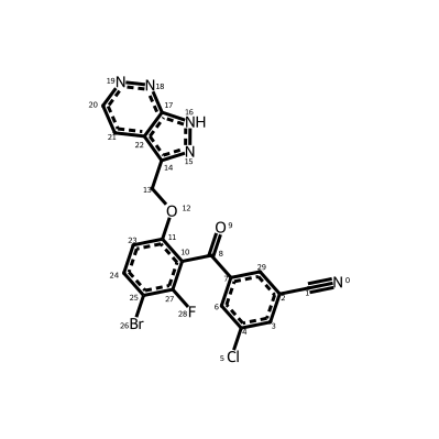 N#Cc1cc(Cl)cc(C(=O)c2c(OCc3n[nH]c4nnccc34)ccc(Br)c2F)c1